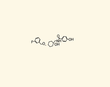 O=C(NC[C@]1(O)CC[C@@H](COCc2cccc(F)c2)CC1)c1ccc(O)cc1